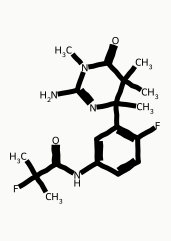 CN1C(=O)C(C)(C)C(C)(c2cc(NC(=O)C(C)(C)F)ccc2F)N=C1N